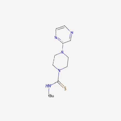 CC(C)(C)NC(=S)N1CCN(c2cnccn2)CC1